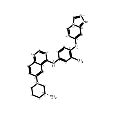 Cc1cc(Nc2ncnc3ccc(N4CCC[C@@H](N)C4)cc23)ccc1Oc1cc2nncn2cn1